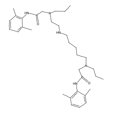 CCCN(CCCCCNCCN(CCC)CC(=O)Nc1c(C)cccc1C)CC(=O)Nc1c(C)cccc1C